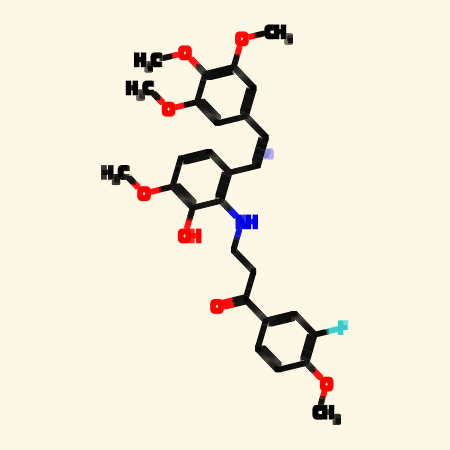 COc1ccc(C(=O)CCNc2c(/C=C\c3cc(OC)c(OC)c(OC)c3)ccc(OC)c2O)cc1F